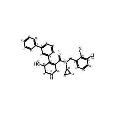 O=C(C1=C(c2cccc(-c3ccccc3)c2)C(O)CNC1)N(Cc1cccc(Cl)c1Cl)C1CC1